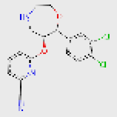 N#Cc1cccc(O[C@H]2CNCCOC2c2ccc(Cl)c(Cl)c2)n1